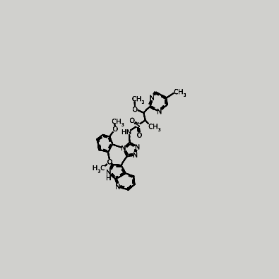 COc1cccc(OC)c1-n1c(NS(=O)(=O)C(C)C(OC)c2ncc(C)cn2)nnc1-c1c[nH]c2ncccc12